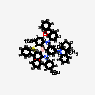 CC(C)(C)c1ccc2c(c1)B1c3c(cc(N4c5ccccc5C5(C)CCCCC45C)cc3N2c2cccc3c2oc2ccccc23)N(c2ccc(C(C)(C)C)cc2-c2ccccc2)c2ccc3c(sc4ccccc43)c21